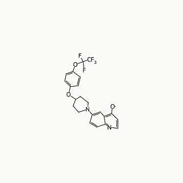 [O]c1ccnc2ccc(N3CCC(Oc4ccc(OC(F)(F)C(F)(F)F)cc4)CC3)cc12